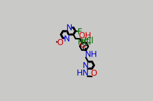 COc1ccc2ncc(F)c(C[C@H](O)C34CCC(NCc5ccc6c(n5)NCCO6)(CC3)CO4)c2n1.Cl.Cl